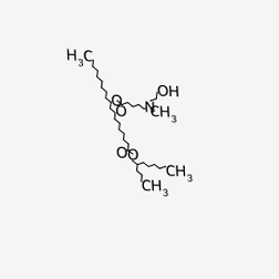 CCCCCCCCCC(CCCCCCCCC(=O)OCC(CCCC)CCCCCC)OC(=O)CCCCN(C)CCCO